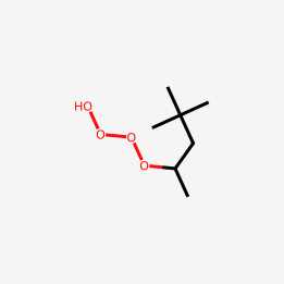 CC(CC(C)(C)C)OOOO